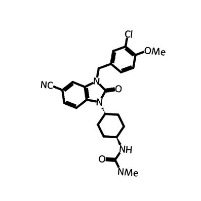 CNC(=O)N[C@H]1CC[C@H](n2c(=O)n(Cc3ccc(OC)c(Cl)c3)c3cc(C#N)ccc32)CC1